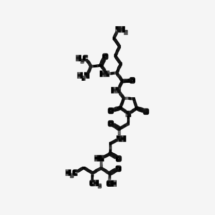 CCC(C)C(NC(=O)CNC(=O)CN1C(=O)CC(NC(=O)C(CCCCN)NC(=O)C(C)N)C1=O)C(=O)O